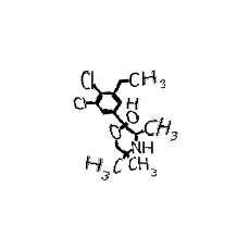 CCc1cc(C2(O)OCC(C)(C)NC2C)cc(Cl)c1Cl